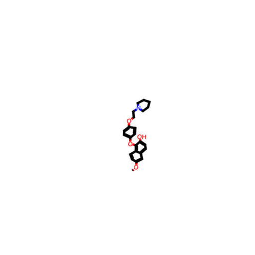 COc1ccc2c(Oc3ccc(OCCN4CCCCC4)cc3)c(O)ccc2c1